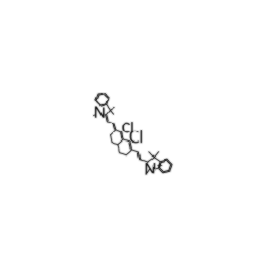 CN1/C(=C/C=C2\CCC3CCC(/C=C/C4=[N+](C)c5ccccc5C4(C)C)=C(Cl)C3=C2Cl)C(C)(C)c2ccccc21